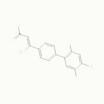 O=C(C=C(O)c1ccc(-c2cc(Cl)c(Cl)cc2Cl)cc1)C(F)(F)F